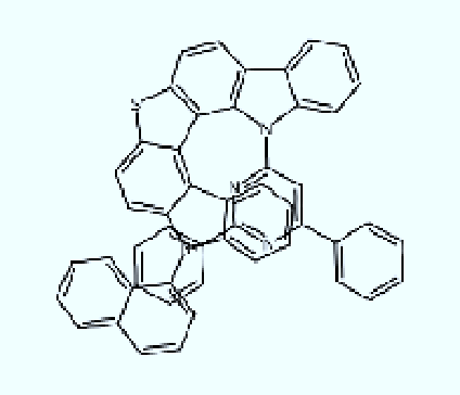 c1ccc(-c2cc(-n3c4ccccc4c4ccc5sc6ccc7c(c8ccccc8n7-c7cccc8ccccc78)c6c5c43)nc(-c3ccccc3)n2)cc1